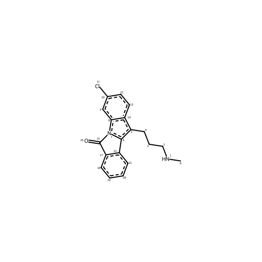 CNCCCc1c2n(c3cc(Cl)ccc13)C(=O)c1ccccc1-2